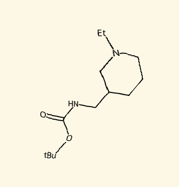 CCN1CCCC(CNC(=O)OC(C)(C)C)C1